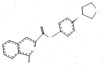 O=C(Nc1ccc([C@H]2CCNC2)cc1)c1cc2ccccc2c(Cl)n1